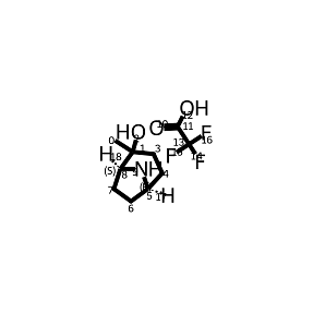 CC1(O)CC[C@H]2CC[C@@H]1N2.O=C(O)C(F)(F)F